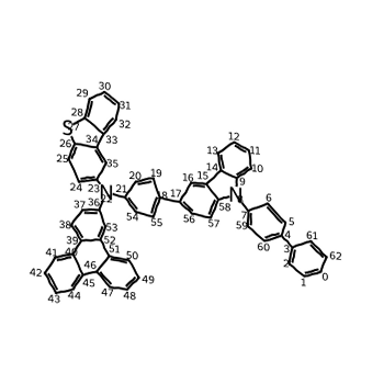 c1ccc(-c2ccc(-n3c4ccccc4c4cc(-c5ccc(N(c6ccc7sc8ccccc8c7c6)c6ccc7c8ccccc8c8ccccc8c7c6)cc5)ccc43)cc2)cc1